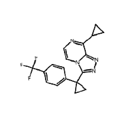 FC(F)(F)c1ccc(C2(c3nnc4c(C5CC5)nccn34)CC2)cc1